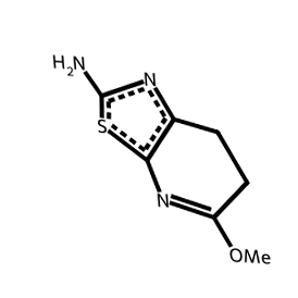 COC1=Nc2sc(N)nc2CC1